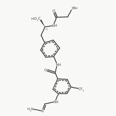 CC(C)(C)CC(=O)N[C@@H](Cc1ccc(NC(=O)c2cc(NC=NN)cc(C(F)(F)F)c2)cc1)C(=O)O